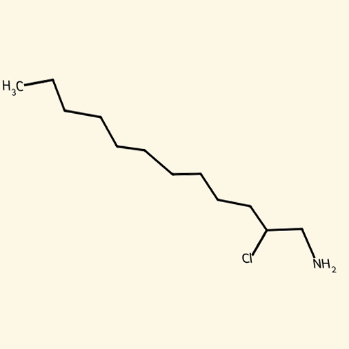 CCCCCCCCCCC(Cl)CN